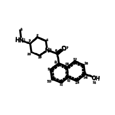 CNC1CCN(C(=O)c2cccc3cc(O)ccc23)CC1